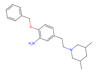 CC1CC(C)CN(CCc2ccc(OCc3ccccc3)c(N)c2)C1